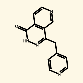 O=c1[nH]nc(Cc2ccncc2)c2cnccc12